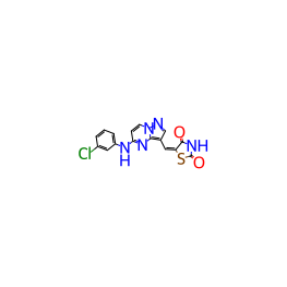 O=C1NC(=O)C(=Cc2cnn3ccc(Nc4cccc(Cl)c4)nc23)S1